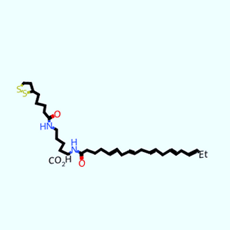 CCC=CCC=CCC=CCC=CCC=CCCCC(=O)NC(CCCCNC(=O)CCCCC1CCSS1)C(=O)O